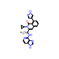 C[C@H](Nc1nccc2[nH]cnc12)c1cc2cccc(-c3cn[nH]c3)c2c(=O)n1C1CC1